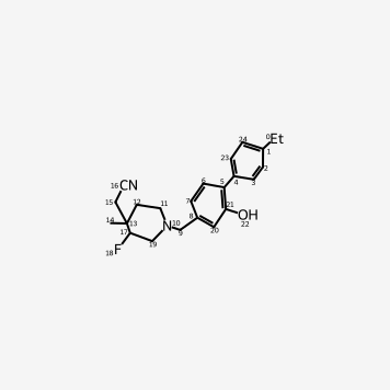 CCc1ccc(-c2ccc(CN3CCC(C)(CC#N)C(F)C3)cc2O)cc1